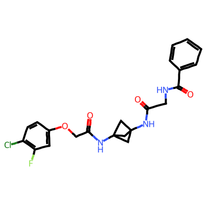 O=C(CNC(=O)c1ccccc1)NC12CC(NC(=O)COc3ccc(Cl)c(F)c3)(C1)C2